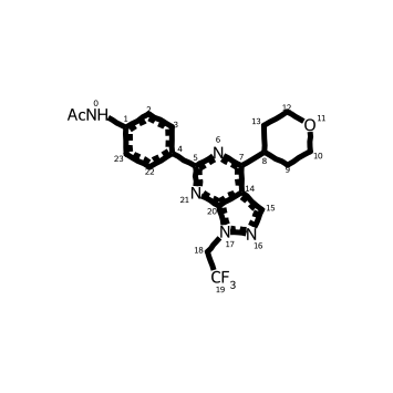 CC(=O)Nc1ccc(-c2nc(C3CCOCC3)c3cnn(CC(F)(F)F)c3n2)cc1